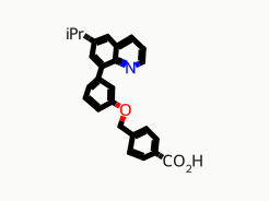 CC(C)c1cc(-c2cccc(OCc3ccc(C(=O)O)cc3)c2)c2ncccc2c1